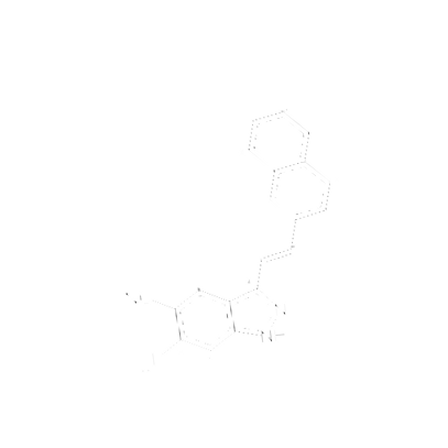 N#Cc1cc2c(C=Cc3ccc4ccccc4c3)n[nH]c2cc1F